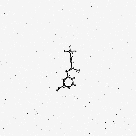 C[Si](C)(C)C#CC(S)=Nc1cccc(F)c1